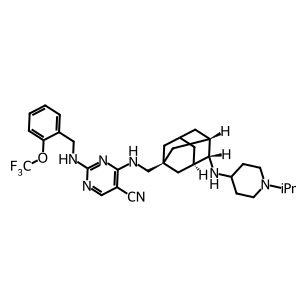 CC(C)N1CCC(N[C@@H]2[C@@H]3CC4C[C@H]2C[C@@](CNc2nc(NCc5ccccc5OC(F)(F)F)ncc2C#N)(C4)C3)CC1